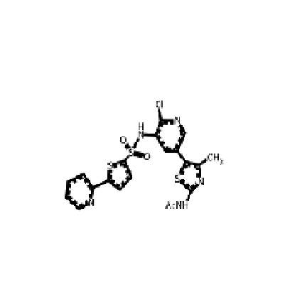 CC(=O)Nc1nc(C)c(-c2cnc(Cl)c(NS(=O)(=O)c3ccc(-c4ccccn4)s3)c2)s1